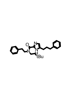 CC(C)(C)CCN(CCc1ccccc1)C(=O)c1ncc(CCCc2ccccc2)[nH]1